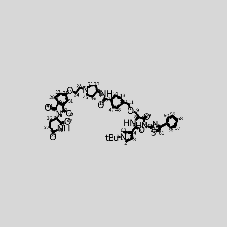 CC(C)(C)n1ccc(C(=O)NC(COCc2ccc(C(=O)NC3CCN(CCOc4ccc5c(c4)C(=O)N(C4CCC(=O)NC4=O)C5=O)CC3)cc2)C(=O)Nc2nc(-c3ccccc3)cs2)c1